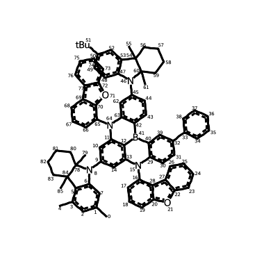 Cc1cc(C)c2c(c1)N(c1cc3c4c(c1)N(c1cccc5oc6ccccc6c15)c1ccc(-c5ccccc5)cc1B4c1ccc(N4c5ccc(C(C)(C)C)cc5C5(C)CCCCC45C)cc1N3c1cccc3c1oc1ccccc13)C1(C)CCCCC21C